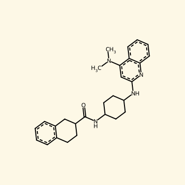 CN(C)c1cc(NC2CCC(NC(=O)C3CCc4ccccc4C3)CC2)nc2ccccc12